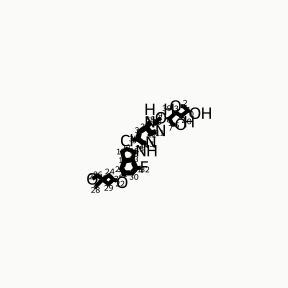 O[C@@H]1CO[C@H]2[C@@H]1OC[C@H]2Oc1nc2nc(NC3CCc4cc(OC5CC6(COC6)C5)cc(F)c43)c(Cl)cc2[nH]1